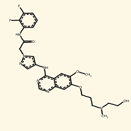 COc1cc2c(Nc3cnn(CC(=O)Nc4cccc(F)c4F)c3)ncnc2cc1OCCCN(C)CCO